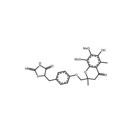 COc1c(O)c(C)c2c(c1OC)OC(C)(COc1ccc(CC3SC(=N)NC3=O)cc1)CC2=O